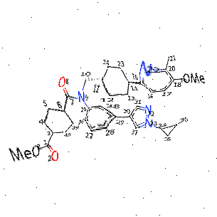 COC(=O)C1CCC(C(=O)N(C[C@H]2CC[C@H](c3ccc(OC)c(C)n3)CC2)c2cccc(-c3cnn(C4CC4)c3)c2)CC1